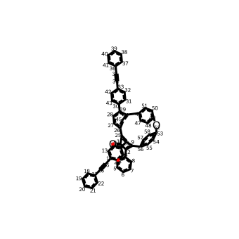 O=C1C(c2ccccc2)=C2C(c3ccc(C#Cc4ccccc4)cc3)=C1c1ccc(-c3ccc(C#Cc4ccccc4)cc3)c(c1)-c1ccc(cc1)Oc1ccc2cc1